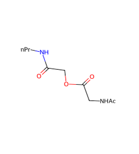 CCCNC(=O)COC(=O)CNC(C)=O